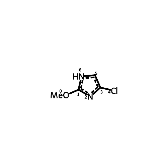 COc1nc(Cl)c[nH]1